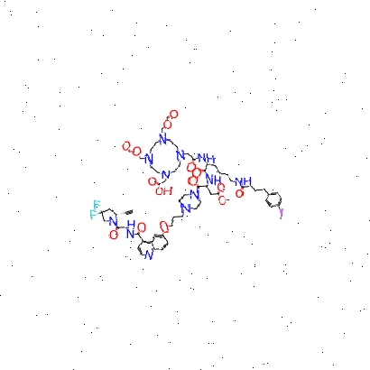 C#C[C@H]1CC(F)(F)CN1C(=O)CNC(=O)c1ccnc2ccc(OCCCN3CCN(C(=O)[C@H](CC(=O)OC)NC(=O)[C@H](CCCCNC(=O)CCCc4ccc(I)cc4)NC(=O)CN4CCN(COC=O)CCN(COC=O)CCN(CC(=O)O)CC4)CC3)cc12